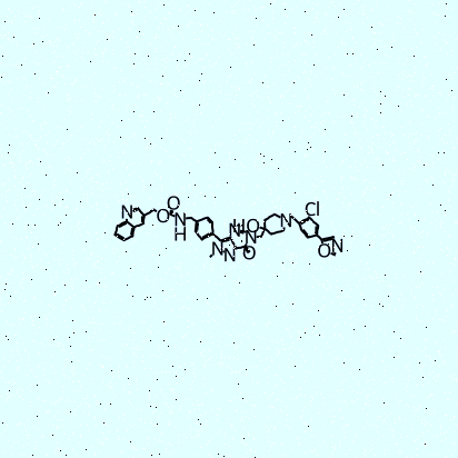 Cn1nc2c(=O)n(CC3(O)CCN(Cc4ccc(-c5cnco5)cc4Cl)CC3)cnc2c1-c1ccc(CNC(=O)OCc2cnc3ccccc3c2)cc1